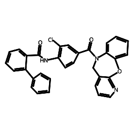 O=C(Nc1ccc(C(=O)N2Cc3cccnc3Oc3ccccc32)cc1Cl)c1ccccc1-c1ccccc1